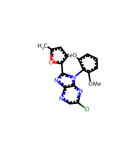 COc1cccc(OC)c1-n1c(-c2ccc(C)o2)nc2ncc(Cl)nc21